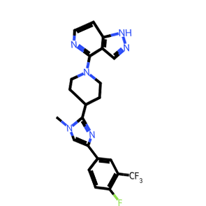 Cn1cc(-c2ccc(F)c(C(F)(F)F)c2)nc1C1CCN(c2nccc3[nH]ncc23)CC1